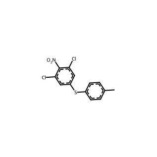 Cc1ccc(Sc2cc(Cl)c([N+](=O)[O-])c(Cl)c2)cc1